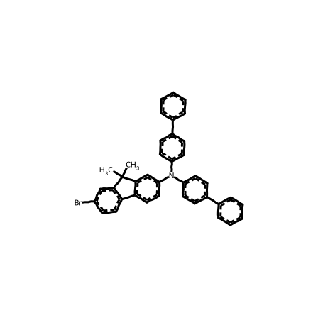 CC1(C)c2cc(Br)ccc2-c2ccc(N(c3ccc(-c4ccccc4)cc3)c3ccc(-c4ccccc4)cc3)cc21